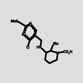 CSc1ncc(CNC2CCCN(C(=O)O)C2C(C)(C)C)c(Cl)n1